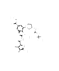 COC(=O)c1cc(N2CC[C@H](NC(=O)OC(C)(C)C)C2)c2nc(NC(=O)c3[nH]c(C)c(Cl)c3Cl)sc2c1